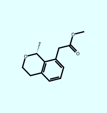 COC(=O)Cc1cccc2c1[C@@H](C)OCC2